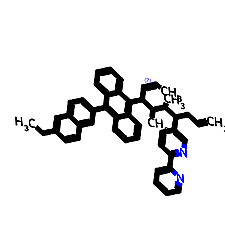 C=CCC(c1ccc(-c2ccccn2)nc1)C(C)C(C)C(/C=C\C)c1c2ccccc2c(-c2ccc3cc(CC)ccc3c2)c2ccccc12